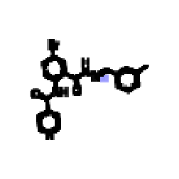 Cc1cccc(/C=N/NC(=O)c2cc(Br)ccc2NC(=O)c2ccncc2)c1